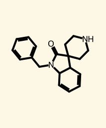 O=C1N(Cc2ccccc2)C2C=CC=CC2C12CCNCC2